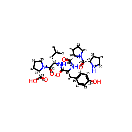 CC(C)C[C@H](NC(=O)[C@H](Cc1ccc(O)cc1)NC(=O)[C@@H]1CCCN1C(=O)[C@@H]1CCCN1)C(=O)N1CCC[C@H]1C(=O)O